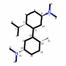 CC(C)[C@@H]1CC[C@@H](N(C)C)CC1C1C[C@@H](N(C)C)CC[C@H]1C